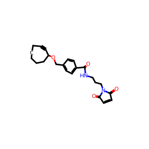 O=C(NCCCN1C(=O)C=CC1=O)c1ccc(COC2C#CCCCCC2)cc1